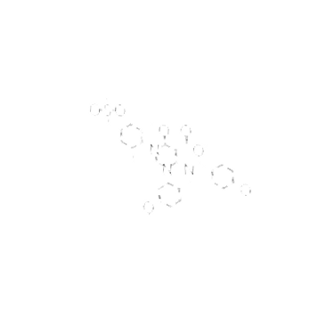 COC(=O)c1c(N(Cc2ccc(OC)cc2)Cc2ccc(OC)cc2)ncn(-c2c(C)cc(CS(C)(=O)=O)cc2C)c1=O